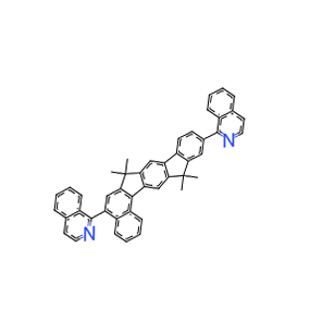 CC1(C)c2cc(-c3nccc4ccccc34)ccc2-c2cc3c(cc21)-c1c(cc(-c2nccc4ccccc24)c2ccccc12)C3(C)C